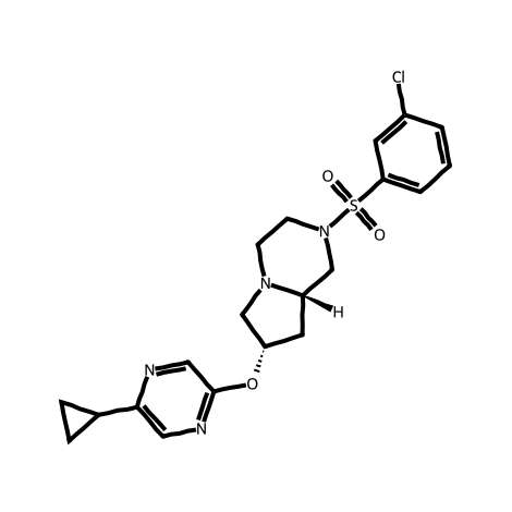 O=S(=O)(c1cccc(Cl)c1)N1CCN2C[C@@H](Oc3cnc(C4CC4)cn3)C[C@H]2C1